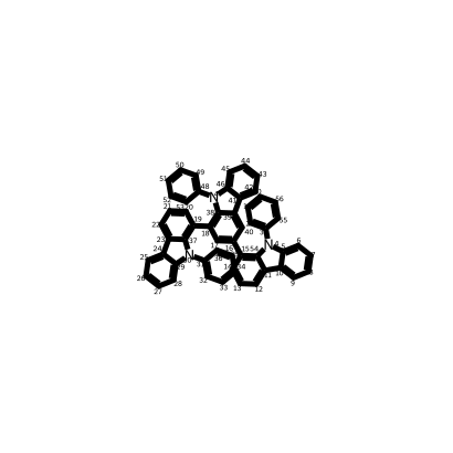 c1ccc(-n2c3ccccc3c3cccc(-c4cc(-c5cccc6c7ccccc7n(-c7ccccc7)c56)c5c(c4)c4ccccc4n5-c4ccccc4)c32)cc1